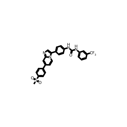 CS(=O)(=O)c1ccc(-c2ccn3c(-c4ccc(NC(=O)Nc5cccc(C(F)(F)F)c5)cc4)cnc3c2)cc1